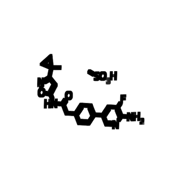 CC1(c2cc(NC(=O)Cc3ccc(-c4cnc(N)c(F)c4)cc3)on2)CC1.CS(=O)(=O)O